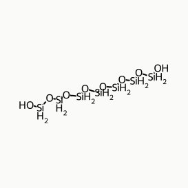 O[SiH2]O[SiH2]O[SiH2]O[SiH2]O[SiH2]O[SiH2]O[SiH2]O